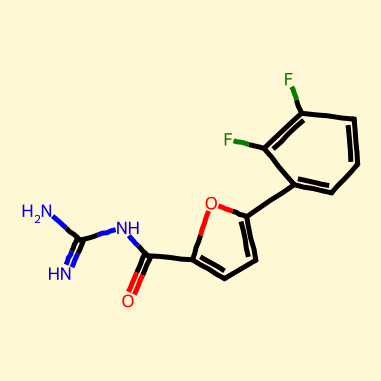 N=C(N)NC(=O)c1ccc(-c2cccc(F)c2F)o1